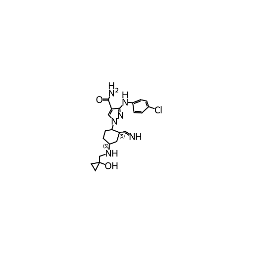 N=C[C@H]1C[C@@H](NCC2(O)CC2)CCC1n1cc(C(N)=O)c(Nc2ccc(Cl)cc2)n1